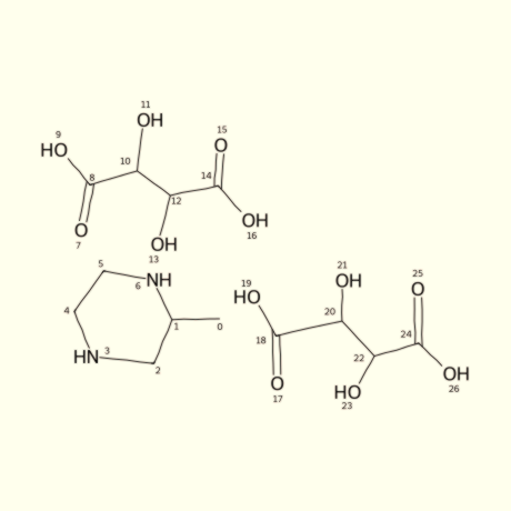 CC1CNCCN1.O=C(O)C(O)C(O)C(=O)O.O=C(O)C(O)C(O)C(=O)O